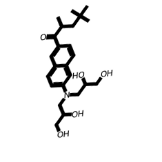 CC(CC(C)(C)C)C(=O)c1ccc2cc(N(CC(O)CO)CC(O)CO)ccc2c1